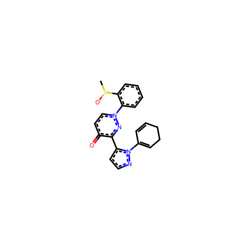 C[S+]([O-])c1ccccc1-n1ccc(=O)c(-c2ccnn2C2=CCCC=C2)n1